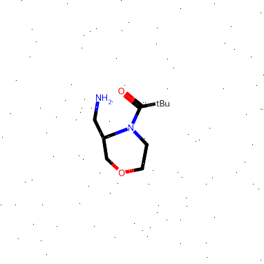 CC(C)(C)C(=O)N1CCOCC1CN